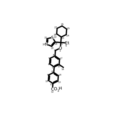 CCC(OCc1ccc(-c2ccc(C(=O)O)cc2)c(C)c1)(c1cncs1)C1CCCCC1